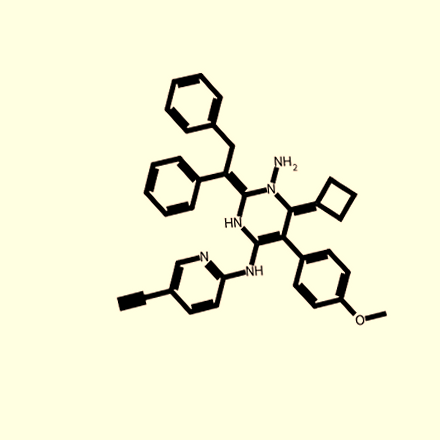 C#Cc1ccc(NC2=C(c3ccc(OC)cc3)C(=C3CCC3)N(N)/C(=C(\Cc3ccccc3)c3ccccc3)N2)nc1